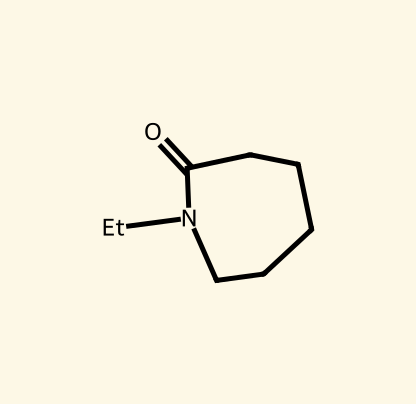 CCN1CCCCCC1=O